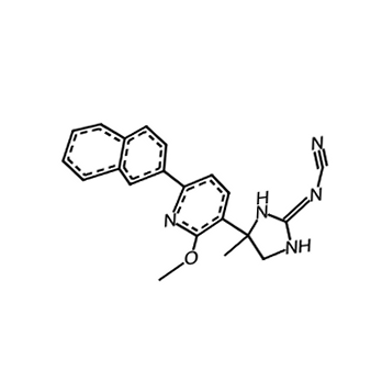 COc1nc(-c2ccc3ccccc3c2)ccc1C1(C)CN/C(=N/C#N)N1